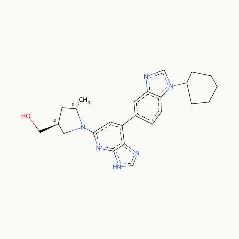 C[C@H]1C[C@H](CO)CN1c1cc(-c2ccc3c(c2)ncn3C2CCCCC2)c2nc[nH]c2n1